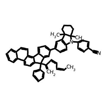 C=C(/C=C\C=C/C)C1(c2ccccc2)c2cc(-c3ccc4c(c3)C3(C)CCCCC3(C)N4c3ccc(C#N)cc3)ccc2-c2c1ccc1c2ccc2ccccc21